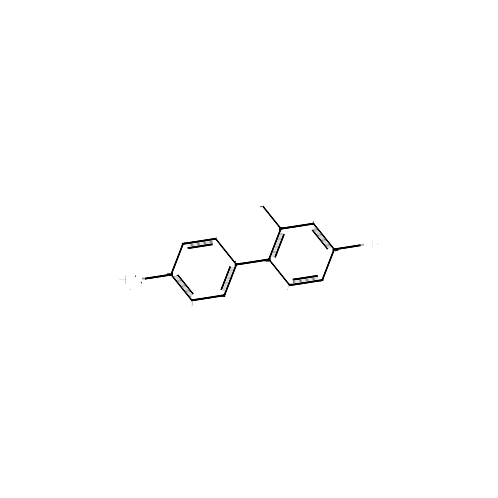 Nc1ccc(-c2ccc(Cl)cc2Cl)cc1